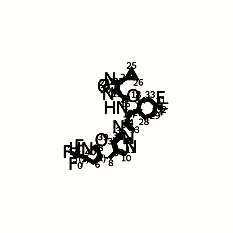 C[C@@]1(C(F)(F)F)C[C@@H](Cc2cnn3cc([C@@H](NC(=O)c4nonc4C4CC4)C4CCC(F)(F)CC4)nc3c2)C(=O)N1